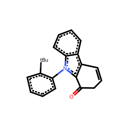 CC(C)(C)c1ccccc1-n1c2c(c3ccccc31)C=CCC2=O